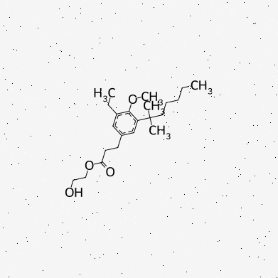 CCCCCC(C)(C)c1cc(CCC(=O)OCCO)cc(CC)c1OC